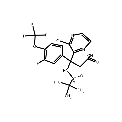 CC(C)(C)[S@@+]([O-])NC(CC(=O)O)(c1ccc(OC(F)(F)F)c(F)c1)c1nccnc1Cl